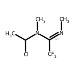 C/N=C(\N(C)C(C)Cl)C(F)(F)F